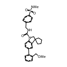 CNS(=O)(=O)c1ccc(CNC(=O)N2CC3(CCCC3)c3cc(-c4ccccc4COC)ccc32)cc1